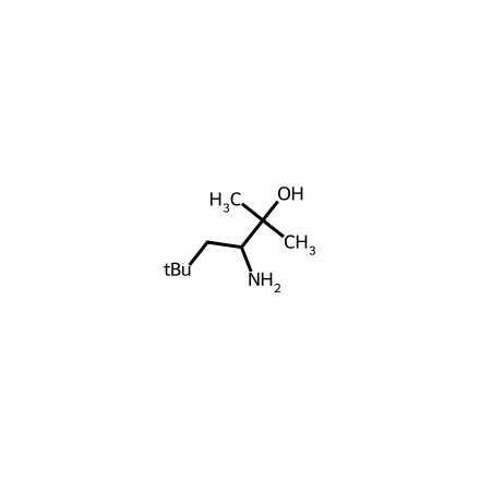 CC(C)(C)CC(N)C(C)(C)O